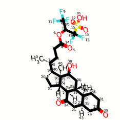 C[C@H](CCC(=O)OC(C(F)(F)F)C(F)(F)S(=O)(=O)O)[C@H]1CC[C@H]2[C@@H]3C(=O)C[C@@H]4CC(=O)CC[C@]4(C)[C@H]3CC(O)[C@]12C